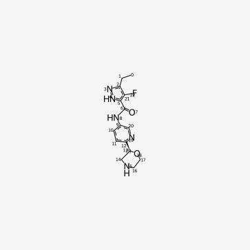 CCc1n[nH]c(C(=O)Nc2ccc([C@@H]3CNCCO3)nc2)c1F